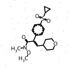 CON(C)C(=O)/C(=C/C1CCOCC1)c1ccc(S(=O)(=O)C2CC2)cc1